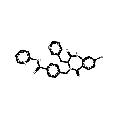 O=C(Nc1ccccn1)c1ccc(CN2C(=O)c3ccc(Br)cc3NC(=O)C2Cc2cccnc2)cc1